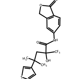 CC(C)(CC(O)(C(=O)Nc1ccc2c(c1)COC2=O)C(F)(F)F)c1ccsc1